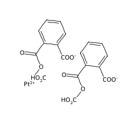 O=C(O)OC(=O)c1ccccc1C(=O)[O-].O=C(O)OC(=O)c1ccccc1C(=O)[O-].[Pt+2]